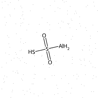 O=[S](=O)([AlH2])S